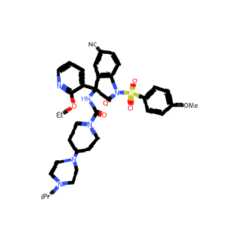 CCOc1ncccc1C1(NC(=O)N2CCC(N3CCN(C(C)C)CC3)CC2)C(=O)N(S(=O)(=O)c2ccc(OC)cc2)c2ccc(C#N)cc21